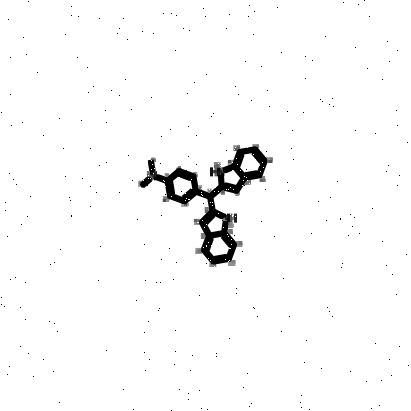 CN(C)c1ccc(C(c2cc3ccccc3[nH]2)c2cc3ccccc3[nH]2)cc1